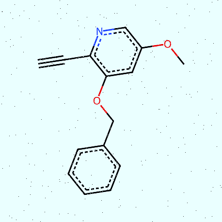 C#Cc1ncc(OC)cc1OCc1ccccc1